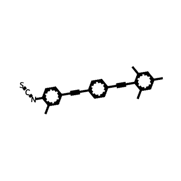 Cc1cc(C)c(C#Cc2ccc(C#Cc3ccc(N=C=S)c(C)c3)cc2)c(C)c1